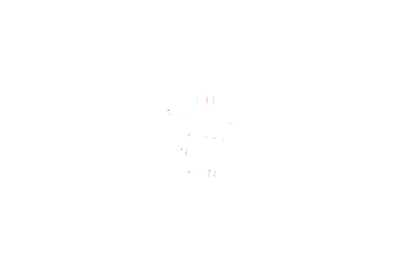 Cc1cn[c]nc1C(C)O